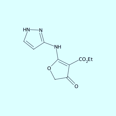 CCOC(=O)C1=C(Nc2cc[nH]n2)OCC1=O